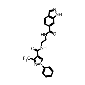 O=C(NCCNC(=O)c1cn(-c2ccccc2)nc1C(F)(F)F)c1ccc2cn[nH]c2c1